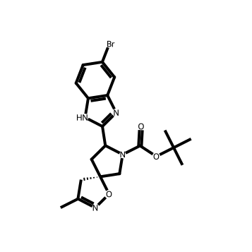 CC1=NO[C@@]2(C1)CC(c1nc3cc(Br)ccc3[nH]1)N(C(=O)OC(C)(C)C)C2